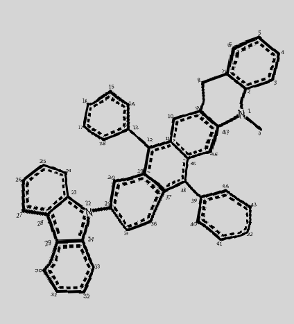 CN1c2ccccc2Cc2cc3c(-c4ccccc4)c4cc(-n5c6ccccc6c6ccccc65)ccc4c(-c4ccccc4)c3cc21